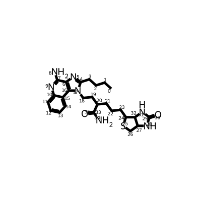 CCCCc1nc2c(N)nc3ccccc3c2n1CCC(CCCC1SCC2NC(=O)NC21)C(N)=O